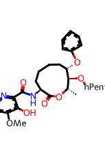 CCCCCO[C@H]1[C@H](C)OC(=O)[C@@H](NC(=O)c2nccc(OC)c2O)CCCC[C@@H]1Oc1ccccc1